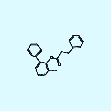 Cc1cccc(-c2ccccc2)c1OC(=O)CCc1ccccc1